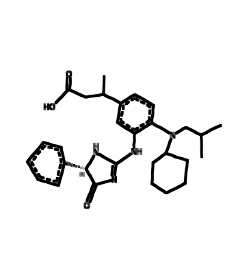 CC(C)CN(c1ccc(C(C)CC(=O)O)cc1NC1=NC(=O)[C@H](c2ccccc2)N1)C1CCCCC1